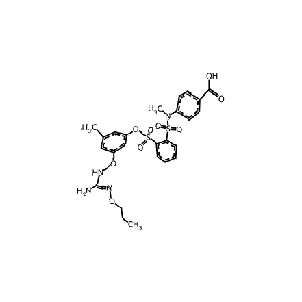 CCCON=C(N)NOc1cc(C)cc(OS(=O)(=O)c2ccccc2S(=O)(=O)N(C)c2ccc(C(=O)O)cc2)c1